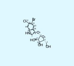 OC[C@H]1O[C@@H](Oc2c[nH]c3cc(Cl)c(Br)cc23)[C@H](O)[C@@H]1O